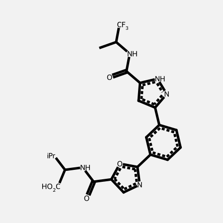 CC(C)C(NC(=O)c1cnc(-c2cccc(-c3cc(C(=O)NC(C)C(F)(F)F)[nH]n3)c2)o1)C(=O)O